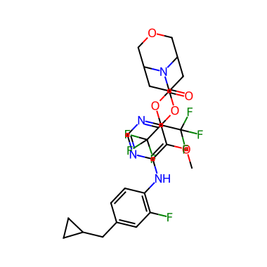 COc1c(Nc2ccc(CC3CC3)cc2F)ncnc1OC1CC2COCC(C1)N2C(=O)OC(C(F)(F)F)C(F)(F)F